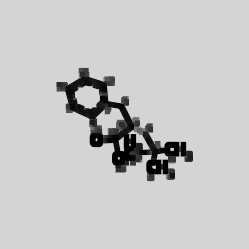 CC(C)(C)C[C@@H](Cc1ccccc1)C(=O)O